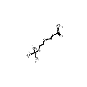 CC(=O)CCOCCNC(C)(C)C